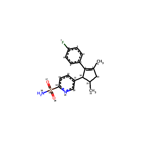 CC1=C(c2ccc(F)cc2)C(c2ccc(S(N)(=O)=O)nc2)C(C)C1